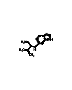 C=C(C)C(CN)Nc1ccc2nc[nH]c2c1